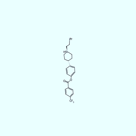 CC(C)CC[Si@H]1CC[C@H](c2ccc(OC(=O)c3ccc(C(F)(F)F)cc3)cc2)CC1